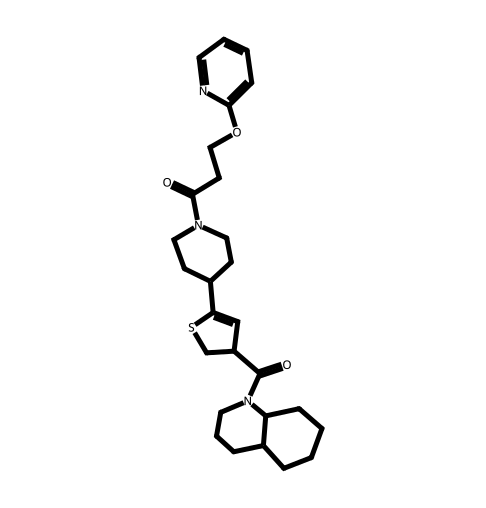 O=C(CCOc1ccccn1)N1CCC(C2=CC(C(=O)N3CCCC4CCCCC43)CS2)CC1